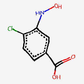 O=C(O)c1ccc(Cl)c(NO)c1